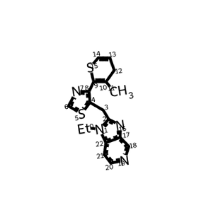 CCn1c(Cc2scnc2C2=C(C)CC=CS2)nc2cnccc21